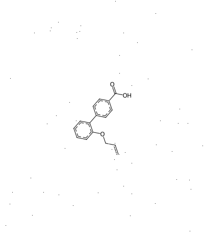 C=CCOc1ccccc1-c1ccc(C(=O)O)cc1